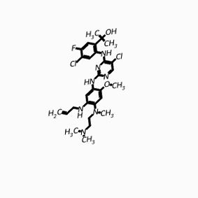 C=CCNc1cc(Nc2ncc(Cl)c(Nc3cc(Cl)c(F)cc3C(C)(C)O)n2)c(OC)cc1N(C)CCN(C)C